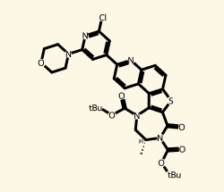 C[C@@H]1CN(C(=O)OC(C)(C)C)c2c(sc3ccc4nc(-c5cc(Cl)nc(N6CCOCC6)c5)ccc4c23)C(=O)N1C(=O)OC(C)(C)C